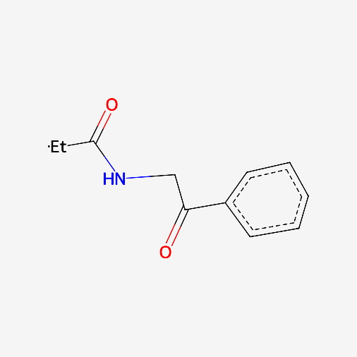 C[CH]C(=O)NCC(=O)c1ccccc1